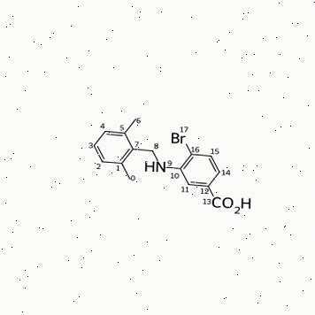 Cc1cccc(C)c1CNc1cc(C(=O)O)ccc1Br